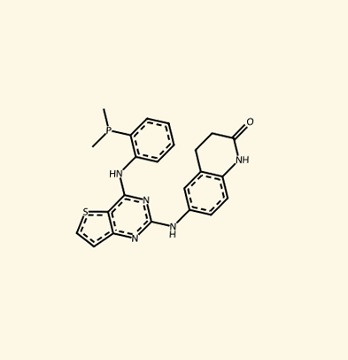 CP(C)c1ccccc1Nc1nc(Nc2ccc3c(c2)CCC(=O)N3)nc2ccsc12